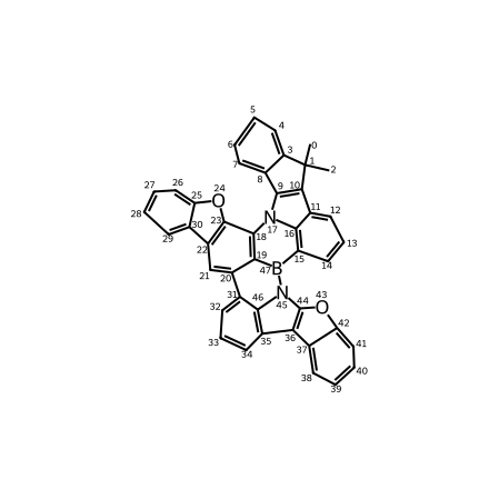 CC1(C)c2ccccc2-c2c1c1cccc3c1n2-c1c2c(cc4c1oc1ccccc14)-c1cccc4c5c6ccccc6oc5n(c14)B23